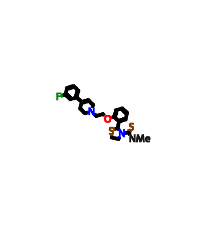 CNC(=S)N1CCSC1c1ccccc1OCCN1CC=C(c2cccc(F)c2)CC1